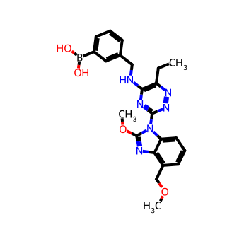 CCc1nnc(-n2c(OC)nc3c(COC)cccc32)nc1NCc1cccc(B(O)O)c1